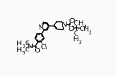 CN(C)C(=O)c1ccc(-c2cc(C3=CCN(C(=O)OC(C)(C)C)CC3)ccn2)cc1Cl